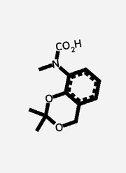 CN(C(=O)O)c1cccc2c1OC(C)(C)OC2